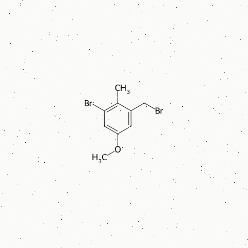 COc1cc(Br)c(C)c(CBr)c1